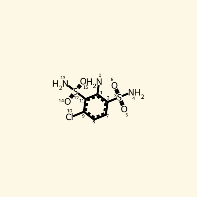 Nc1c(S(N)(=O)=O)ccc(Cl)c1S(N)(=O)=O